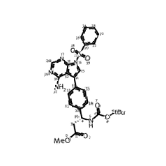 COC(=O)C[C@@H](NC(=O)OC(C)(C)C)c1ccc(-c2cn(S(=O)(=O)c3ccccc3)c3ncnc(N)c23)cc1